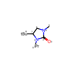 CC(C)N1C(=O)N(C)CC1C(C)(C)C